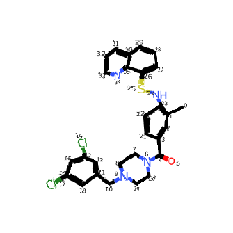 Cc1cc(C(=O)N2CCN(Cc3cc(Cl)cc(Cl)c3)CC2)ccc1NSc1cccc2cccnc12